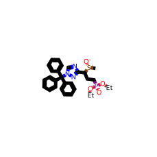 CCOP(=O)(CCC(c1ncn(C(c2ccccc2)(c2ccccc2)c2ccccc2)n1)[S+](C)[O-])OCC